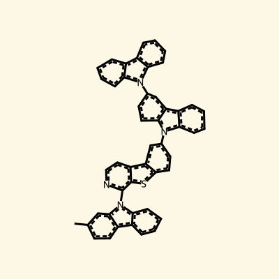 Cc1ccc2c3ccccc3n(-c3nccc4c3sc3ccc(-n5c6ccccc6c6cc(-n7c8ccccc8c8ccccc87)ccc65)cc34)c2c1